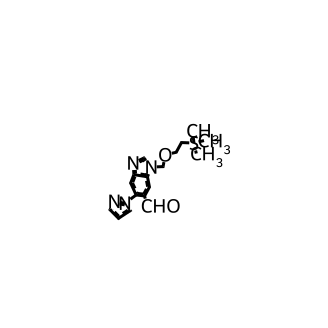 CS(C)(C)CCOCn1cnc2cc(-n3cccn3)c(C=O)cc21